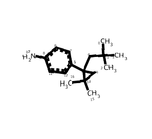 CC(C)(C)CC1(c2ccc(N)cc2)CC1(C)C